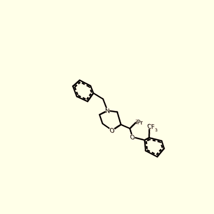 CC(C)C(Oc1ccccc1C(F)(F)F)C1CN(Cc2ccccc2)CCO1